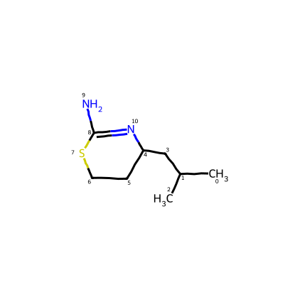 CC(C)CC1CCSC(N)=N1